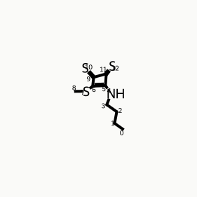 CCCCNc1c(SC)c(=S)c1=S